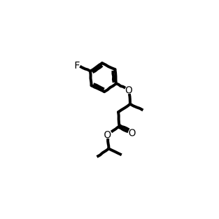 CC(C)OC(=O)CC(C)Oc1ccc(F)cc1